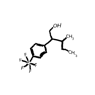 CCC(C)C(CO)c1ccc(S(F)(F)(F)(F)F)cc1